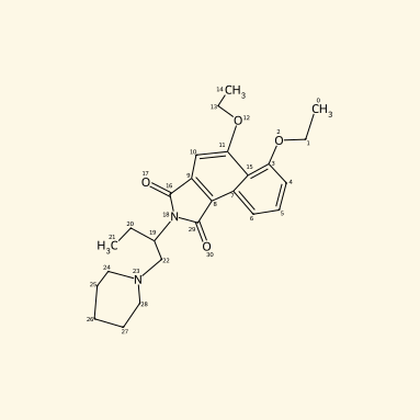 CCOc1cccc2c3c(cc(OCC)c12)C(=O)N(C(CC)CN1CCCCC1)C3=O